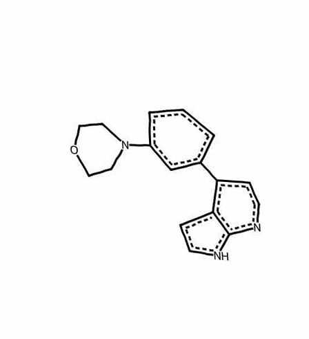 c1cc(-c2ccnc3[nH]ccc23)cc(N2CCOCC2)c1